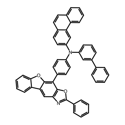 c1ccc(-c2cccc(N(c3ccc(-c4c5oc(-c6ccccc6)nc5cc5c4oc4ccccc45)cc3)c3ccc4ccc5ccccc5c4c3)c2)cc1